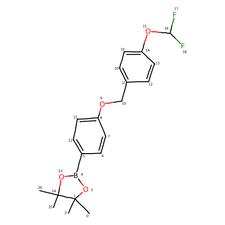 CC1(C)OB(c2ccc(OCc3ccc(OC(F)F)cc3)cc2)OC1(C)C